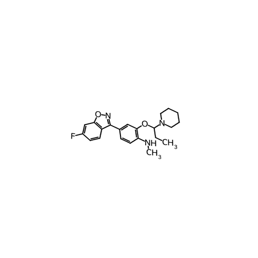 CCC(Oc1cc(-c2noc3cc(F)ccc23)ccc1NC)N1CCCCC1